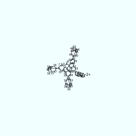 CC(C)C1(C2c3ccc(C45CC6CC(CC(C6)C4)C5)cc3-c3cc(C45CC6CC(CC(C6)C4)C5)ccc32)C2=C(CC(C34CC5CC(CC(C5)C3)C4)=C2)C2CCCC21.[Cl-].[Cl-].[Zr+2]